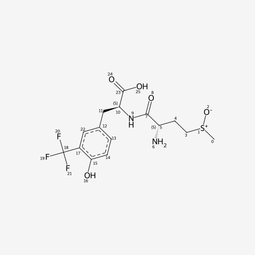 C[S+]([O-])CC[C@H](N)C(=O)N[C@@H](Cc1ccc(O)c(C(F)(F)F)c1)C(=O)O